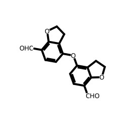 O=Cc1ccc(Oc2ccc(C=O)c3c2CCO3)c2c1OCC2